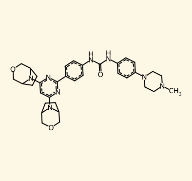 CN1CCN(c2ccc(NC(=O)Nc3ccc(-c4nc(N5C6CCC5COC6)cc(N5C6CCC5COC6)n4)cc3)cc2)CC1